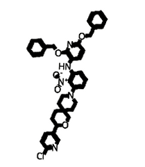 O=[N+]([O-])c1c(Nc2ccc(OCc3ccccc3)nc2OCc2ccccc2)cccc1N1CCC2(CCC(c3ccc(Cl)nc3)OC2)CC1